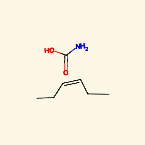 CC/C=C\CC.NC(=O)O